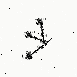 CCCCCCCNC(=O)[C@H](CCCCNC(=O)COCCOCCOCCO[C@@H]1O[C@H](CO)[C@H](O)[C@H](O)[C@H]1NC(C)=O)NC(=O)[C@H](CCCCNC(=O)COCCOCCOCCO[C@@H]1O[C@H](CO)[C@H](O)[C@H](O)[C@H]1NC(C)=O)NC(=O)COCCOCCOCCO[C@@H]1O[C@H](CO)[C@H](O)[C@H](O)[C@H]1NC(C)=O